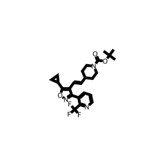 CC(C)(C)OC(=O)N1CCC(/C=C/c2c(-c3cccnc3C(F)(F)F)noc2C2CC2)CC1